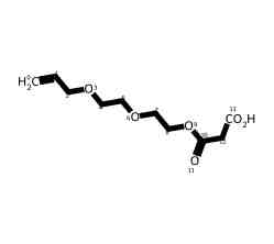 C=CCOCCOCCOC(=O)CC(=O)O